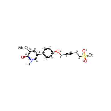 CCS(=O)(=O)CCC#CCOc1ccc(-c2cc(OC)c(=O)n(C)c2)cc1